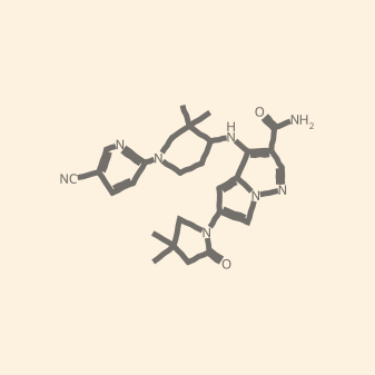 CC1(C)CC(=O)N(c2cc3c(NC4CCN(c5ccc(C#N)cn5)CC4(C)C)c(C(N)=O)cnn3c2)C1